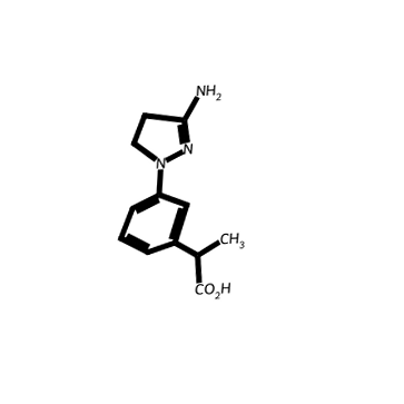 CC(C(=O)O)c1cccc(N2CCC(N)=N2)c1